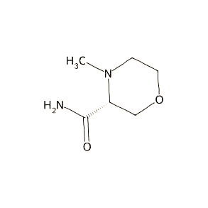 CN1CCOC[C@@H]1C(N)=O